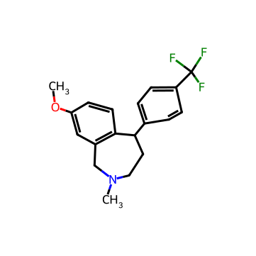 COc1ccc2c(c1)CN(C)CCC2c1ccc(C(F)(F)F)cc1